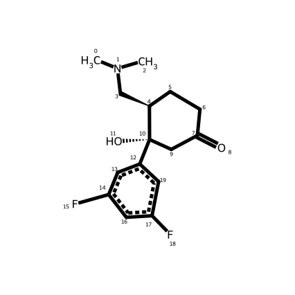 CN(C)C[C@H]1CCC(=O)C[C@@]1(O)c1cc(F)cc(F)c1